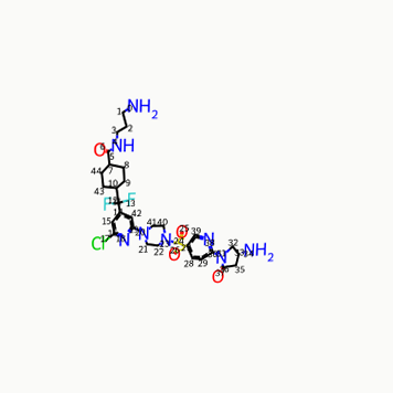 NCCCNC(=O)C1CCC(C(F)(F)c2cc(Cl)nc(N3CCN(S(=O)(=O)c4ccc(N5C[C@H](N)CC5=O)nc4)CC3)c2)CC1